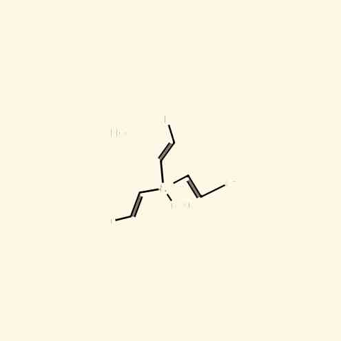 CCC=C[N+](C=CCC)(C=CCC)CCCC.[OH-]